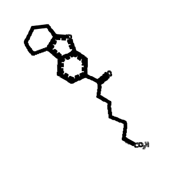 O=C(O)CCCCCC(=O)c1ccc2c3c(oc2c1)CCCC3